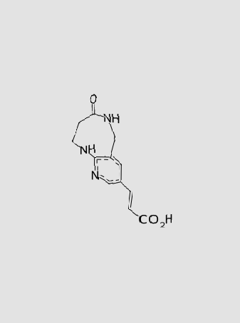 O=C(O)/C=C/c1cnc2c(c1)CNC(=O)CCN2